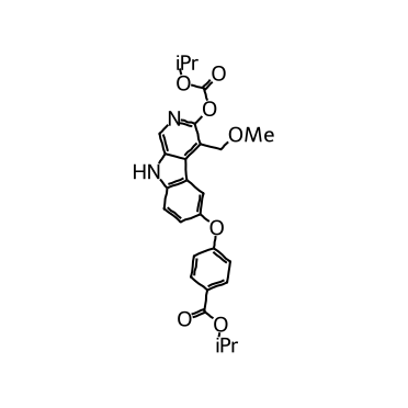 COCc1c(OC(=O)OC(C)C)ncc2[nH]c3ccc(Oc4ccc(C(=O)OC(C)C)cc4)cc3c12